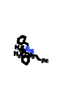 CC(=O)CCC(=NN(Cc1ccccc1)[Si](C)(C)C)c1ccccc1